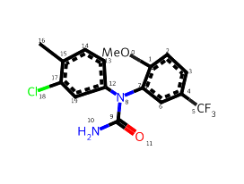 COc1ccc(C(F)(F)F)cc1N(C(N)=O)c1ccc(C)c(Cl)c1